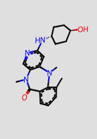 Cc1cccc2c1N(C)c1cc(N[C@H]3CC[C@H](O)CC3)ncc1N(C)C2=O